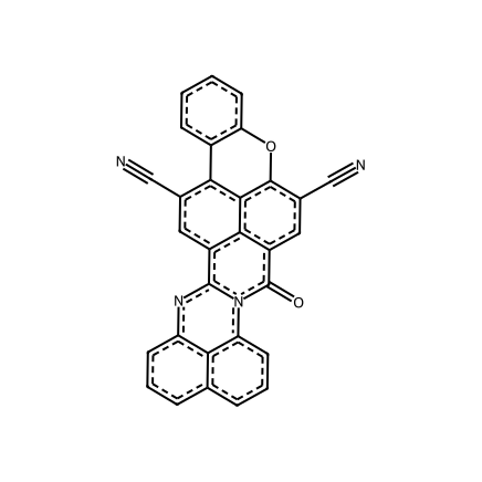 N#Cc1cc2c(=O)n3c4cccc5cccc(nc3c3cc(C#N)c6c(c1Oc1ccccc1-6)c23)c54